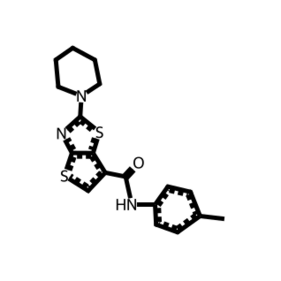 Cc1ccc(NC(=O)c2csc3nc(N4CCCCC4)sc23)cc1